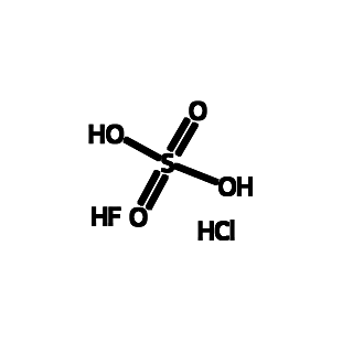 Cl.F.O=S(=O)(O)O